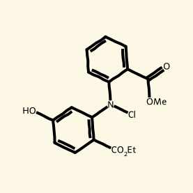 CCOC(=O)c1ccc(O)cc1N(Cl)c1ccccc1C(=O)OC